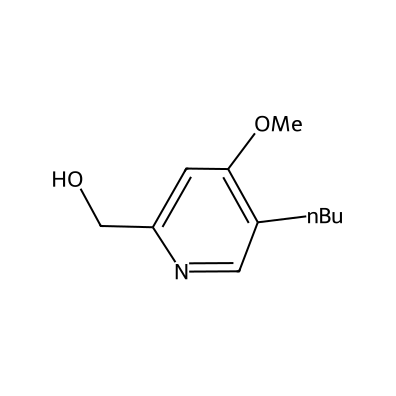 CCCCc1cnc(CO)cc1OC